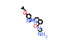 NC1CCN(C(=O)c2cccc3ccc(-n4cnc5cc(OCC6CC6)ccc54)nc23)C1